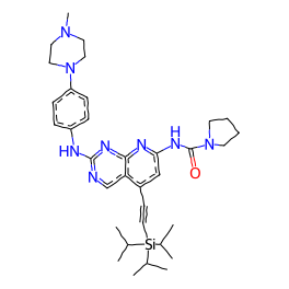 CC(C)[Si](C#Cc1cc(NC(=O)N2CCCC2)nc2nc(Nc3ccc(N4CCN(C)CC4)cc3)ncc12)(C(C)C)C(C)C